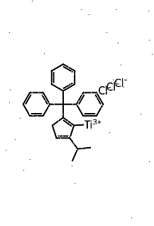 CC(C)C1=CCC(C(c2ccccc2)(c2ccccc2)c2ccccc2)=[C]1[Ti+3].[Cl-].[Cl-].[Cl-]